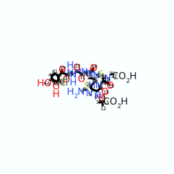 Cc1sc(N)nc1/C(=N/OC(C)(C)C(=O)O)C(=O)N[C@@H]1C(=O)N(CC(=O)O)C1SN1CCN(NC(=O)C(=O)NNC(=O)C(=O)c2ccc(O)c(O)c2Cl)C1=O